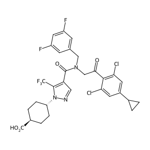 O=C(CN(Cc1cc(F)cc(F)c1)C(=O)c1cnn([C@H]2CC[C@H](C(=O)O)CC2)c1C(F)(F)F)c1c(Cl)cc(C2CC2)cc1Cl